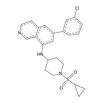 O=S(=O)(C1CC1)N1CCC(Nc2cc(-c3cccc(Cl)c3)cc3ccncc23)CC1